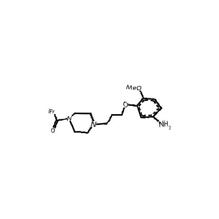 COc1ccc(N)cc1OCCCN1CCN(C(=O)C(C)C)CC1